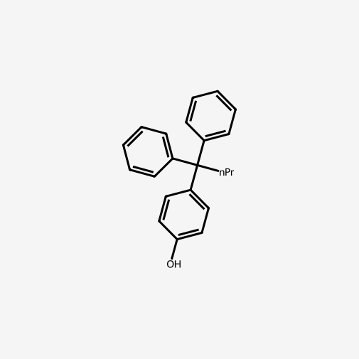 CCCC(c1ccccc1)(c1ccccc1)c1ccc(O)cc1